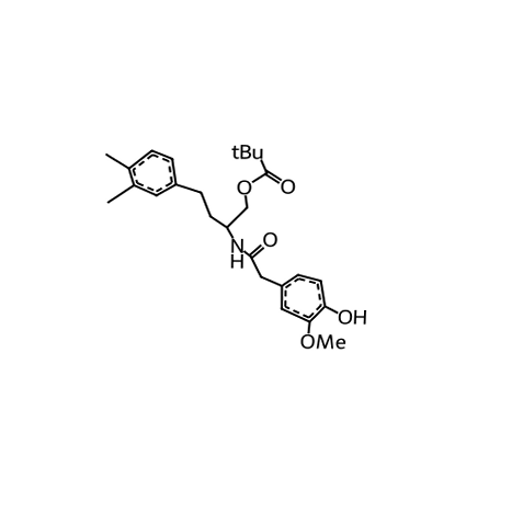 COc1cc(CC(=O)NC(CCc2ccc(C)c(C)c2)COC(=O)C(C)(C)C)ccc1O